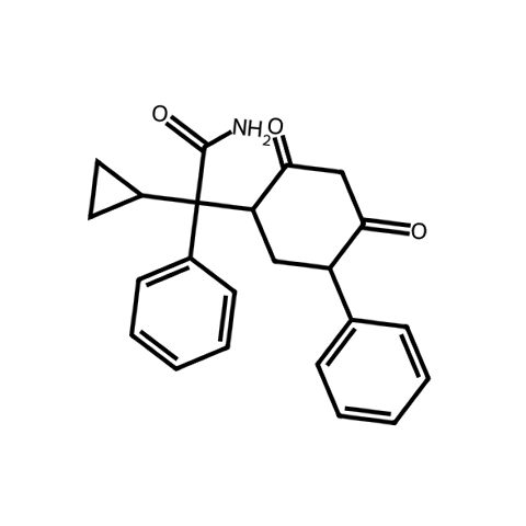 NC(=O)C(c1ccccc1)(C1CC1)C1CC(c2ccccc2)C(=O)CC1=O